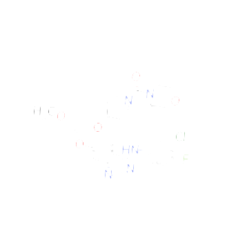 COCCOc1cc2ncnc(Nc3ccc(F)c(Cl)c3)c2cc1OC1CCN(C(=O)N2CCOCC2)CC1